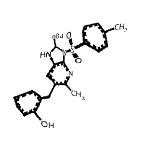 CCCCC1Nc2cc(Cc3ccccc3O)c(C)nc2N1S(=O)(=O)c1ccc(C)cc1